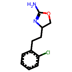 NC1=NC(CCc2ccccc2Cl)CO1